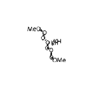 COOOOOOOOC.[KH].[KH]